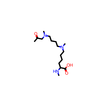 CNC(CCCCN(C)CCCCN(C)CC(C)=O)C(=O)O